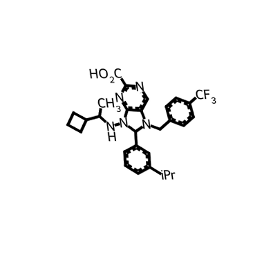 CC(C)c1cccc(C2N(Cc3ccc(C(F)(F)F)cc3)c3cnc(C(=O)O)nc3N2NC(C)C2CCC2)c1